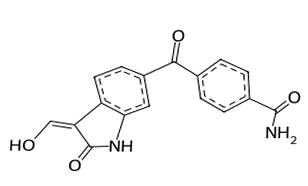 NC(=O)c1ccc(C(=O)c2ccc3c(c2)NC(=O)C3=CO)cc1